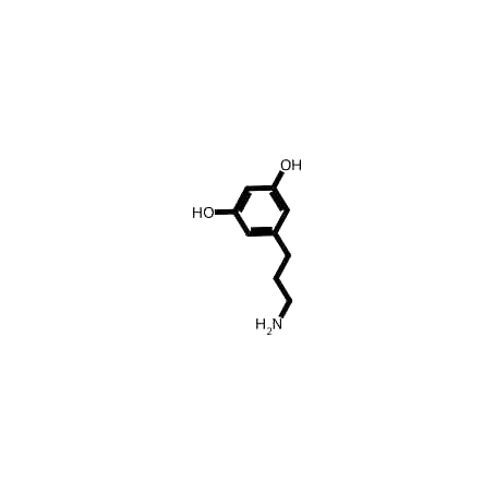 NCCCc1cc(O)cc(O)c1